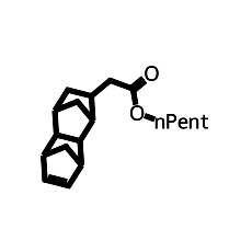 CCCCCOC(=O)CC1CC2CC1C1C3C=CC(C3)C21